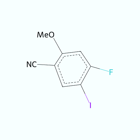 COc1cc(F)c(I)cc1C#N